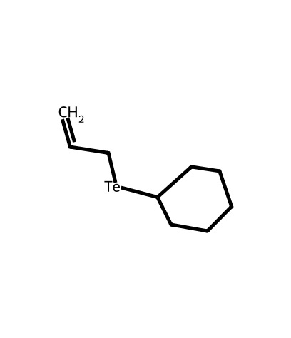 C=CC[Te]C1CCCCC1